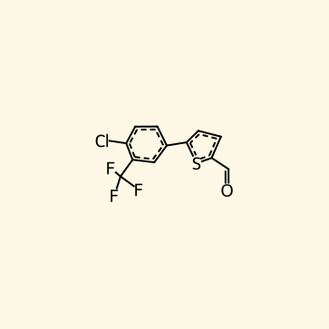 O=Cc1ccc(-c2ccc(Cl)c(C(F)(F)F)c2)s1